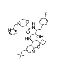 CC(C)(C)Cc1cnc2c(c1)[C@@H](NC[C@H](O)[C@H](Cc1ccc(F)cc1)NC(=O)[C@@H]1CN(Cc3nccs3)CCO1)CC1(CCC1)O2